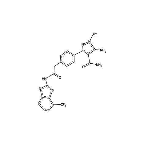 CC(C)n1nc(-c2ccc(CC(=O)Nc3nc4cccc(C(F)(F)F)c4s3)cc2)c(C(N)=O)c1N